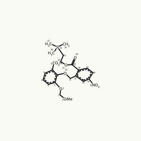 COCOc1cccc(C(=O)O)c1OCc1cc([N+](=O)[O-])ccc1C(=O)OCC[Si](C)(C)C